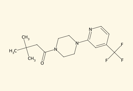 CC(C)(C)CC(=O)N1CCN(c2cc(C(F)(F)F)ccn2)CC1